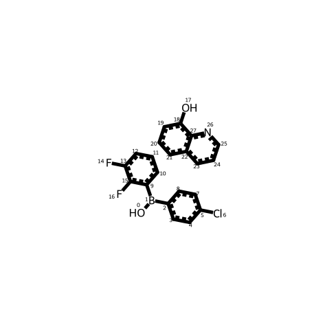 OB(c1ccc(Cl)cc1)c1cccc(F)c1F.Oc1cccc2cccnc12